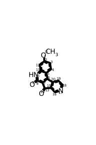 COc1ccc2c3c(c(=O)[nH]c2c1)C(=O)c1cnccc1-3